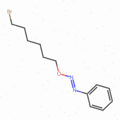 BrCCCCCCON=Nc1ccccc1